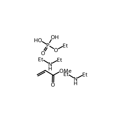 C=CC(=O)OC.CCNCC.CCNCC.CCOP(=O)(O)O